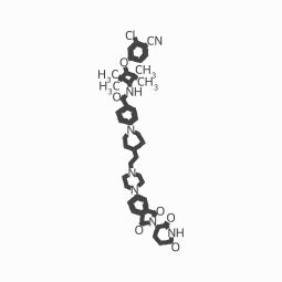 CC1(C)C(NC(=O)c2ccc(N3CCC(CCN4CCN(c5ccc6c(c5)C(=O)N(C5CCC(=O)NC5=O)C6=O)CC4)CC3)cc2)C(C)(C)C1Oc1ccc(C#N)c(Cl)c1